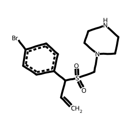 C=CC(c1ccc(Br)cc1)S(=O)(=O)CN1CCNCC1